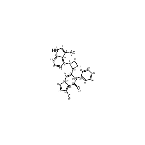 CC(=O)c1c[nH]c2ncnc(N3CC[C@H]3c3nn4ccc(Cl)c4c(=O)n3-c3ccccc3)c12